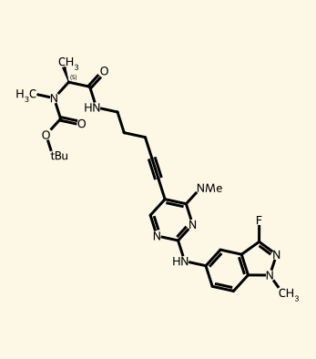 CNc1nc(Nc2ccc3c(c2)c(F)nn3C)ncc1C#CCCCNC(=O)[C@H](C)N(C)C(=O)OC(C)(C)C